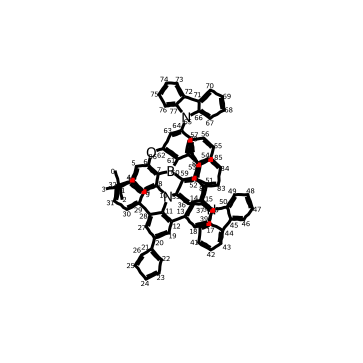 CC(C)(C)c1cc2c3c(c1)N(c1c(-c4ccccc4)cc(-c4ccccc4)cc1-c1ccccc1)c1cc(-n4c5ccccc5c5ccccc54)cc(-c4ccccc4)c1B3c1c(cc(-n3c4ccccc4c4ccccc43)cc1-c1ccccc1)O2